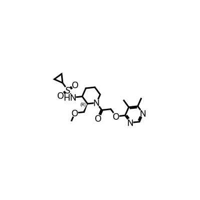 COC[C@H]1C(NS(=O)(=O)C2CC2)CCCN1C(=O)COc1ncnc(C)c1C